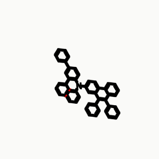 c1ccc(-c2ccc(N(c3ccccc3)c3ccc4c(c3)c(-c3ccccc3)c(-c3ccccc3)c3ccccc34)c(-c3ccccc3)c2)cc1